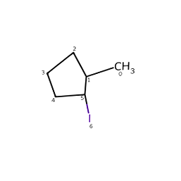 CC1CCCC1I